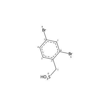 O=S(=O)(O)Cc1ccc(Br)cc1Br